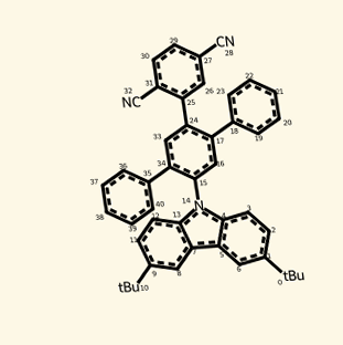 CC(C)(C)c1ccc2c(c1)c1cc(C(C)(C)C)ccc1n2-c1cc(-c2ccccc2)c(-c2cc(C#N)ccc2C#N)cc1-c1ccccc1